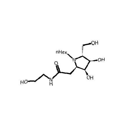 CCCCCCN1[C@H](CC(=O)NCCO)[C@H](O)[C@H](O)[C@H]1CO